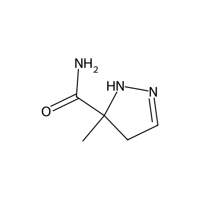 CC1(C(N)=O)CC=NN1